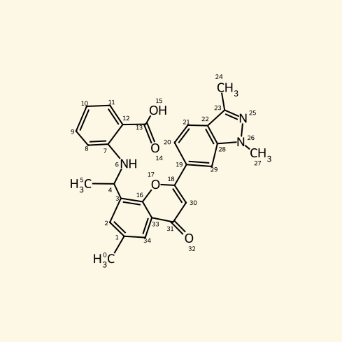 Cc1cc(C(C)Nc2ccccc2C(=O)O)c2oc(-c3ccc4c(C)nn(C)c4c3)cc(=O)c2c1